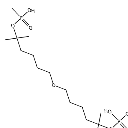 CC(C)(CCCCOCCCCC(C)(C)OP(=O)(O)O)OP(C)(=O)O